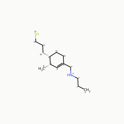 CCCNCC1=C[C@H](C)[C@H](CCCS)CC1